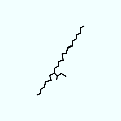 [CH2]CCCCC/C=C/CCCCCCC(CCCCCC[CH2])C(C)CC